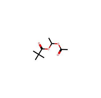 C[C](OC(C)=O)OC(=O)C(C)(C)C